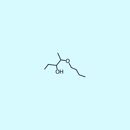 CCCCOC(C)C(O)CC